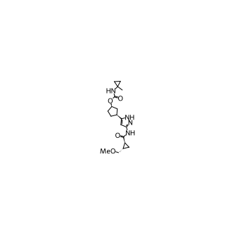 COC[C@H]1C[C@@H]1C(=O)Nc1cc([C@H]2CC[C@@H](OC(=O)NC3(C)CC3)C2)[nH]n1